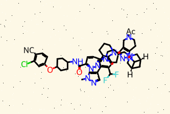 CC(=O)N1CCc2c(c(N3CCCc4cc(-c5cnn(C)c5)c(C(F)F)cc43)nn2C2[C@@H]3C[C@H]2CN(CC2CCN(c4ccc(C(=O)NC5CCC(Oc6ccc(C#N)c(Cl)c6)CC5)nn4)CC2)C3)C1